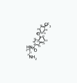 CC(CCN)NC(=O)c1ccc2c(Oc3ccc(C(F)(F)F)cc3)cccc2c1